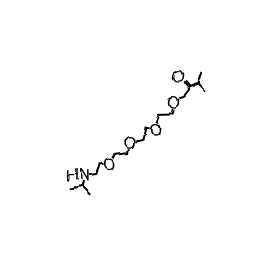 CC(C)NCCOCCOCCOCCOCC(=O)C(C)C